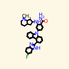 CN1CCCC2CC(Nc3cc(-n4c5ccccc5c5c(-c6nc7ccc(F)cc7[nH]6)cccc54)ccc3C(N)=O)CC21